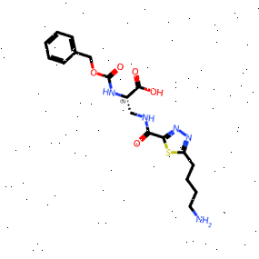 NCCCCc1nnc(C(=O)NC[C@H](NC(=O)OCc2ccccc2)C(=O)O)s1